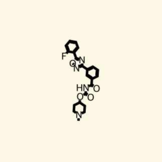 CN1CCC(OC(=O)NC(=O)c2cccc(-c3noc(-c4ccccc4F)n3)c2)CC1